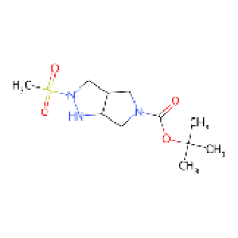 CC(C)(C)OC(=O)N1CC2CN(S(C)(=O)=O)NC2C1